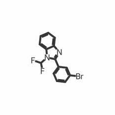 FC(F)n1c(-c2cccc(Br)c2)nc2ccccc21